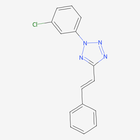 Clc1cccc(-n2nnc(C=Cc3ccccc3)n2)c1